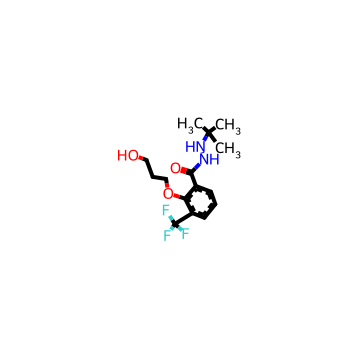 CC(C)(C)NNC(=O)c1cccc(C(F)(F)F)c1OCCCO